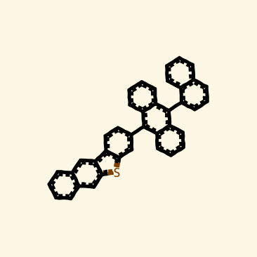 c1ccc2cc3c(cc2c1)sc1cc(-c2c4ccccc4c(-c4cccc5ccccc45)c4ccccc24)ccc13